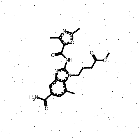 COC(=O)CCCn1c(NC(=O)c2oc(C)nc2C)nc2cc(C(N)=O)cc(C)c21